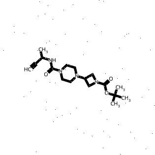 C#CC(C)NC(=O)N1CCN(C2CN(C(=O)OC(C)(C)C)C2)CC1